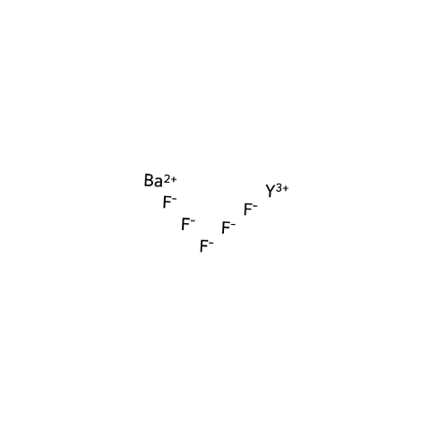 [Ba+2].[F-].[F-].[F-].[F-].[F-].[Y+3]